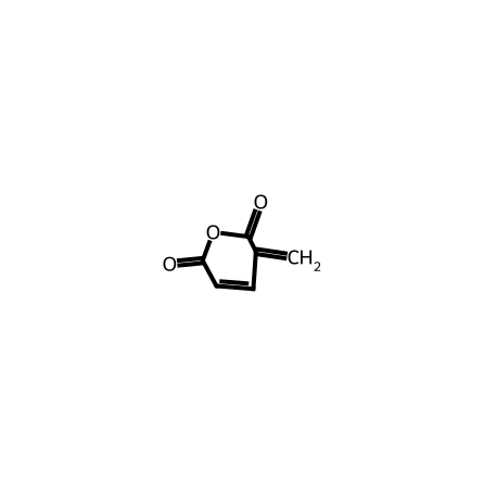 C=C1C=CC(=O)OC1=O